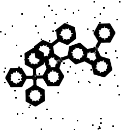 c1ccc(-c2cccc3c4c([Si](c5ccccc5)(c5ccccc5)c5ccccc5)cccc4n(-c4ccc5c(c4)c4ccccc4n5-c4ccccc4)c23)cc1